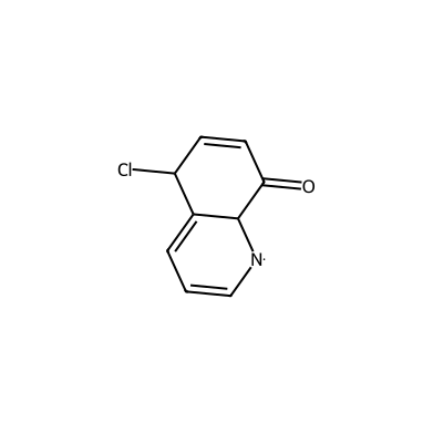 O=C1C=CC(Cl)C2=CC=C[N]C12